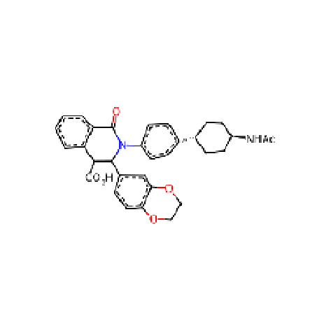 CC(=O)N[C@H]1CC[C@H](c2ccc(N3C(=O)c4ccccc4C(C(=O)O)C3c3ccc4c(c3)OCCO4)cc2)CC1